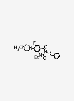 CCn1c(=O)n(OCc2ccccc2)c(=O)c2cc(F)c(N3CCN(C)CC3)cc21